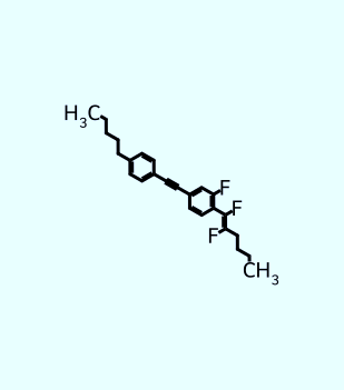 CCCCCc1ccc(C#Cc2ccc(/C(F)=C(\F)CCCC)c(F)c2)cc1